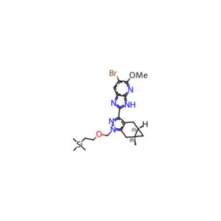 COc1nc2[nH]c(-c3nn(COCC[Si](C)(C)C)c4c3C[C@@H]3C[C@]3(C)C4)nc2cc1Br